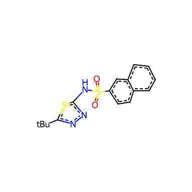 CC(C)(C)c1nnc(NS(=O)(=O)c2ccc3ccccc3c2)s1